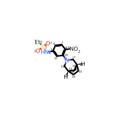 CCS(=O)(=O)Nc1ccc([N+](=O)[O-])c(N2C[C@H]3CC[C@@H](C2)C32CC2)c1